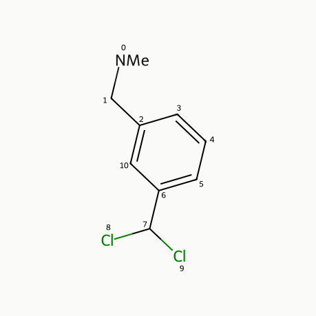 CNCc1cccc(C(Cl)Cl)c1